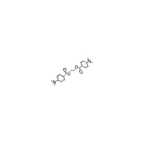 CN(C)c1ccc(C(=O)OCCOC(=O)c2ccc(N(C)C)cc2)cc1